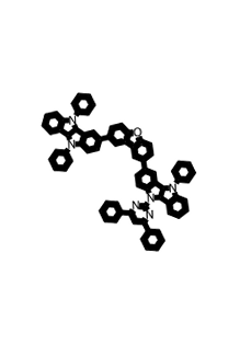 c1ccc(-c2cc(-c3ccccc3)nc(N3c4ccc(-c5ccc6oc7ccc(-c8ccc9c(c8)C8C(c%10ccccc%10N8c8ccccc8)N9c8ccccc8)cc7c6c5)cc4C4C3c3ccccc3N4c3ccccc3)n2)cc1